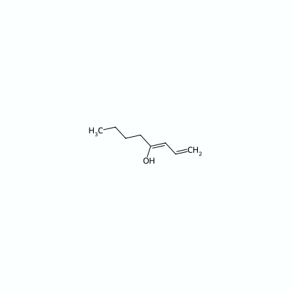 C=CC=C(O)CCCC